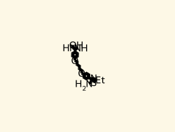 CCc1nc(-c2ccc(OCCCCCOc3ccc(C(=N)NO)cc3)cc2)c(N)s1